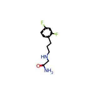 NC(=O)CNCCCc1ccc(F)cc1F